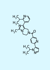 Cc1nc(-c2cccnc2C(C)C)c2n1CCN(C(=O)c1ccc(-c3ccnn3C(C)C)nc1)C2